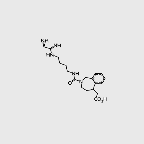 N=CC(=N)NCCCCNC(=O)N1CCC(CC(=O)O)c2ccccc2C1